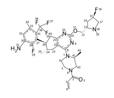 C=CC(=O)N1CCN(c2nc(OC[C@@H]3C[C@@H](F)CN3C)nc3c2C[C@H](C)[C@@H](c2c(F)c(N)cc(C)c2C(F)(F)F)C3)[C@@H](C)C1